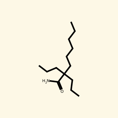 CCCCCCC(CCC)(CCC)C(N)=O